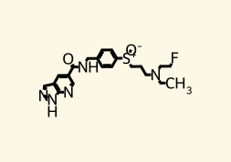 CCN(CCF)CCC[S+]([O-])c1ccc(CNC(=O)c2cnc3[nH]ncc3c2)cc1